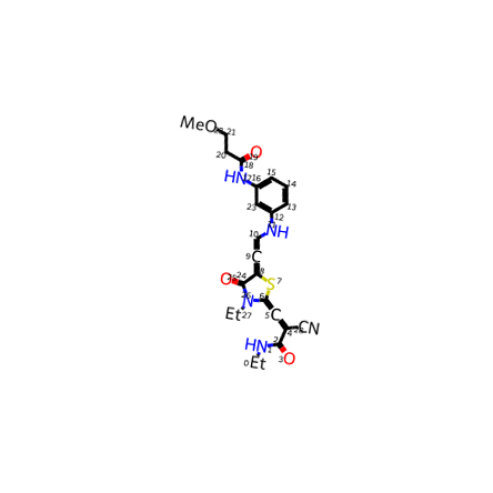 CCNC(=O)C(=C=c1sc(=C=CNc2cccc(NC(=O)CCOC)c2)c(=O)n1CC)C#N